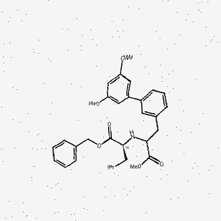 COC(=O)C(Cc1cccc(-c2cc(OC)cc(OC)c2)c1)N[C@@H](CC(C)C)C(=O)OCc1ccccc1